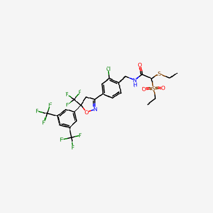 CCSC(C(=O)NCc1ccc(C2=NOC(c3cc(C(F)(F)F)cc(C(F)(F)F)c3)(C(F)(F)F)C2)cc1Cl)S(=O)(=O)CC